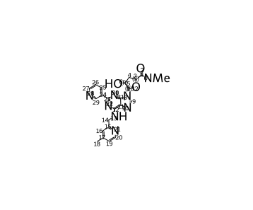 CNC(=O)[C@@H]1C[C@@H](O)[C@H](n2cnc3c(NCc4cc(C)ccn4)nc(-c4cccnc4)nc32)O1